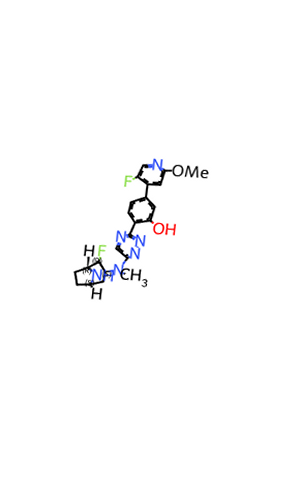 COc1cc(-c2ccc(-c3ncc(N(C)[C@H]4C[C@@H]5CC[C@@H](N5)[C@H]4F)nn3)c(O)c2)c(F)cn1